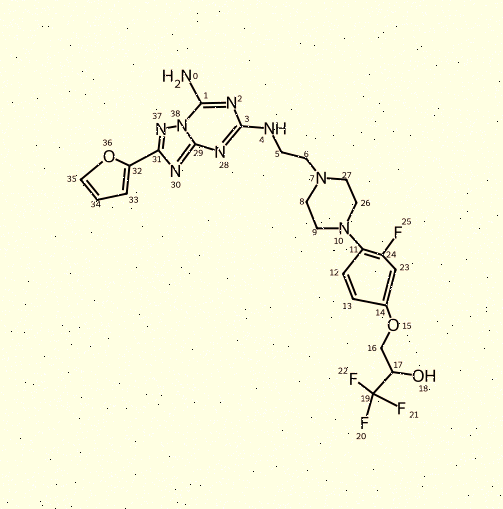 Nc1nc(NCCN2CCN(c3ccc(OCC(O)C(F)(F)F)cc3F)CC2)nc2nc(-c3ccco3)nn12